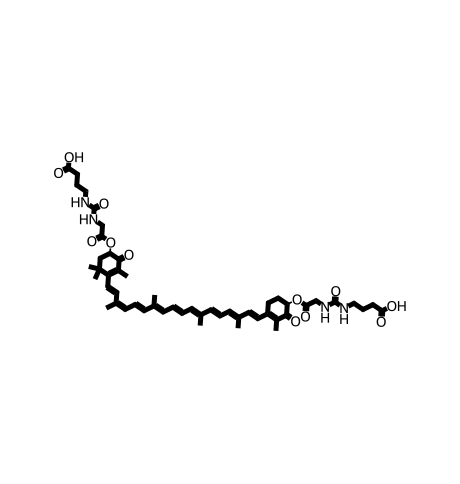 CC1=C(/C=C/C(C)=C/C=C/C(C)=C/C=C/C=C(C)/C=C/C=C(C)\C=C\C2=C(C)C(=O)[C@@H](OC(=O)CNC(=O)NCCCC(=O)O)CC2(C)C)CC[C@H](OC(=O)CNC(=O)NCCCC(=O)O)C1=O